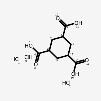 Cl.Cl.Cl.O=C(O)C1CC(C(=O)O)CC(C(=O)O)C1